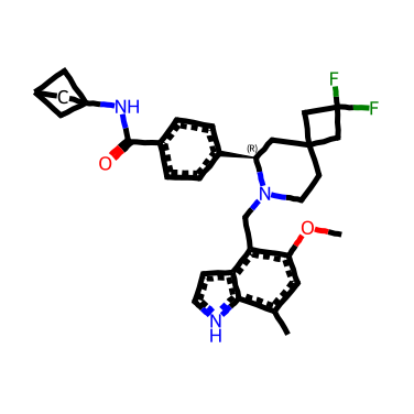 COc1cc(C)c2[nH]ccc2c1CN1CCC2(C[C@@H]1c1ccc(C(=O)NC34CC(C3)C4)cc1)CC(F)(F)C2